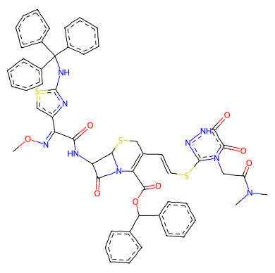 CON=C(C(=O)NC1C(=O)N2C(C(=O)OC(c3ccccc3)c3ccccc3)=C(C=CSc3n[nH]c(=O)c(=O)n3CC(=O)N(C)C)CSC12)c1csc(NC(c2ccccc2)(c2ccccc2)c2ccccc2)n1